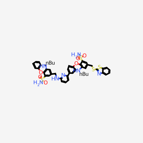 CCCCNc1cc(CNc2cccc(-c3ccc(Oc4c(NCCCC)cc(CSc5nc6ccccc6s5)cc4S(N)(=O)=O)cc3)n2)cc(S(N)(=O)=O)c1Oc1ccccc1